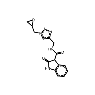 O=C(NCc1cn(CC2CO2)nn1)C1C(=O)Nc2ccccc21